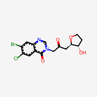 O=C(C[C@H]1OCC[C@@H]1O)Cn1cnc2cc(Br)c(Cl)cc2c1=O